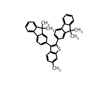 Cc1ccc2c(-c3ccc4c(c3)C(C)(C)c3ccccc3-4)c(-c3ccc4c(c3)C(C)(C)c3ccccc3-4)sc2c1